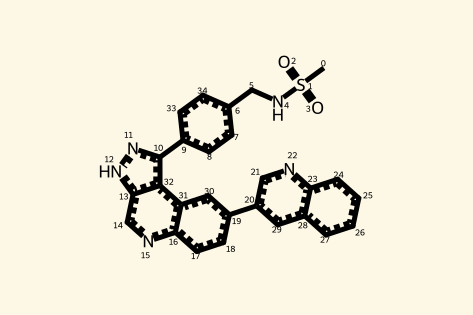 CS(=O)(=O)NCc1ccc(-c2n[nH]c3cnc4ccc(-c5cnc6ccccc6c5)cc4c23)cc1